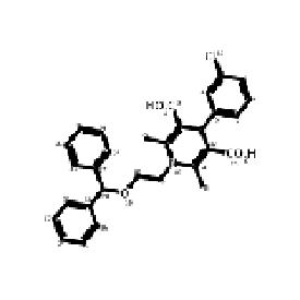 CC1=C(C(=O)O)C(c2cccc(Cl)c2)C(C(=O)O)=C(C)N1CCOC(c1ccccc1)c1ccccc1